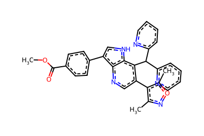 COC(=O)c1ccc(-c2c[nH]c3c(C(c4ccccn4)c4ccccn4)c(-c4c(C)noc4C)cnc23)cc1